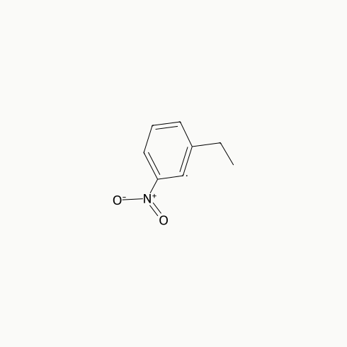 CCc1[c]c([N+](=O)[O-])ccc1